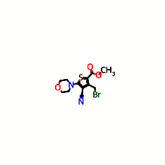 COC(=O)c1sc(N2CCOCC2)c(C#N)c1CBr